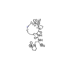 CC(C)(C)C(CN1CCCS1(=O)=O)NC(=O)N[C@H]1CCCCC/C=C\C2C[C@@]2(C(=O)O)NC(=O)[C@@H]2CCCN2C1=O